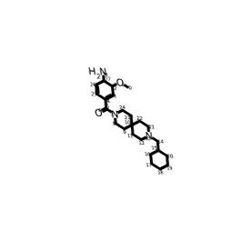 COC1C=C(C(=O)N2CCC3(CCN(CC4CCCCC4)CC3)CC2)C=CC1N